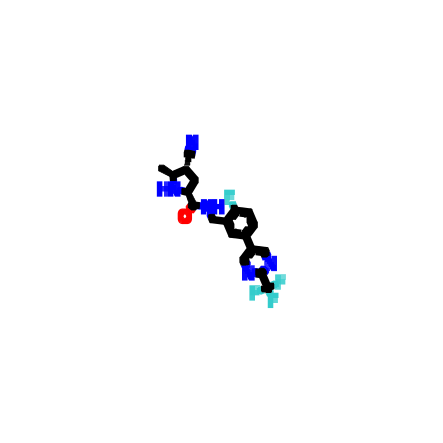 C[C@@H]1N[C@H](C(=O)NCc2cc(-c3cnc(C(F)(F)F)nc3)ccc2F)C[C@H]1C#N